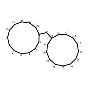 [CH]1CCCCCCC(CC2CCCCC[CH]CCCCCC2)CCCCC1